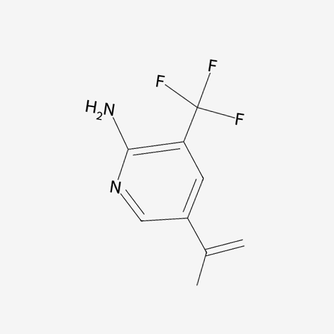 C=C(C)c1cnc(N)c(C(F)(F)F)c1